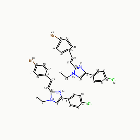 CCn1cc(-c2ccc(Cl)cc2)nc1/C=C/c1ccc(Br)cc1.CCn1cc(-c2ccc(Cl)cc2)nc1/C=C/c1ccc(Br)cc1